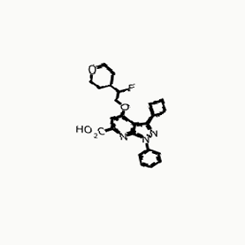 O=C(O)c1cc(OCC(F)C2CCOCC2)c2c(C3CCC3)nn(-c3ccccc3)c2n1